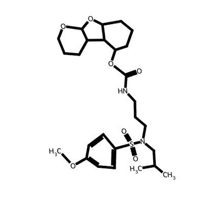 COc1ccc(S(=O)(=O)N(CCCNC(=O)OC2CCCC3OC4OCCCC4C23)CC(C)C)cc1